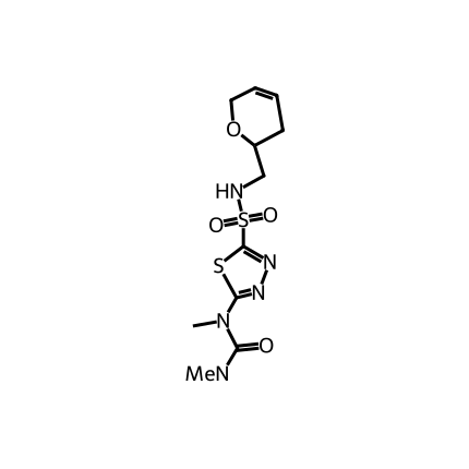 CNC(=O)N(C)c1nnc(S(=O)(=O)NCC2CC=CCO2)s1